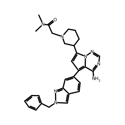 CN(C)C(=O)CN1CCCC(c2cc(-c3ccc4cn(Cc5ccccc5)nc4c3)c3c(N)ncnn23)C1